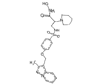 Cc1nn2ccccc2c1COc1ccc(S(=O)(=O)NCC(C(=O)NO)N2CCCCC2)cc1